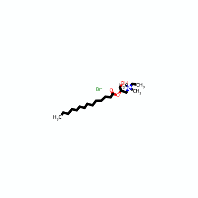 CCCCCCCCCCCCCC(=O)OC(CO)C[N+](C)(C)CC.[Br-]